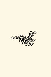 CC(O)C(=O)[O-].CC(O)C(=O)[O-].O=C([O-])/C=C\C(=O)[O-].O=C([O-])/C=C\C(=O)[O-].[Ca+2].[Ca+2].[Ca+2]